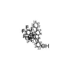 CN(CC(=O)N(Cc1ccc(C2CCCCC2)cc1)c1cccc(O)c1)S(=O)(=O)c1c(F)c(F)c(F)c(F)c1F